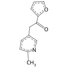 Cc1ccc(CC(=O)c2ccco2)cn1